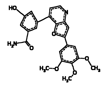 COc1cc(-c2cc3nccc(-c4cc(O)cc(C(N)=O)c4)c3o2)cc(OC)c1OC